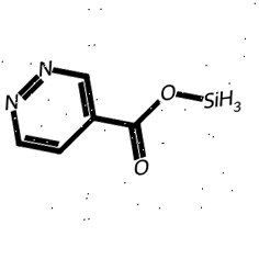 O=C(O[SiH3])c1ccnnc1